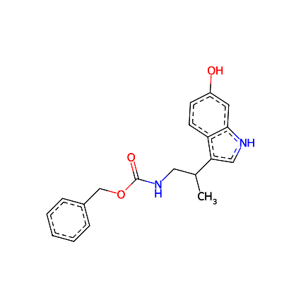 CC(CNC(=O)OCc1ccccc1)c1c[nH]c2cc(O)ccc12